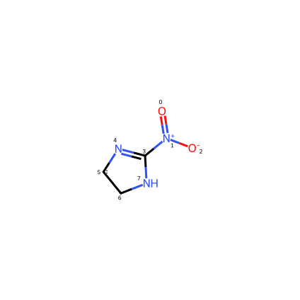 O=[N+]([O-])C1=N[C]CN1